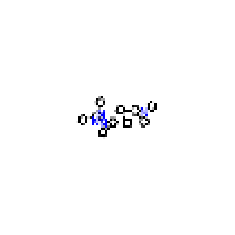 c1ccc(-c2cc(-c3ccccc3)nc(-n3c4ccccc4c4cc(-c5ccccc5-c5ccccc5-c5ccc6c(c5)c5ccccc5n6-c5ccccc5)ccc43)n2)cc1